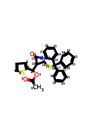 CC(=O)OC(c1cccs1)C1C(=O)NC1SC(c1ccccc1)(c1ccccc1)c1ccccc1